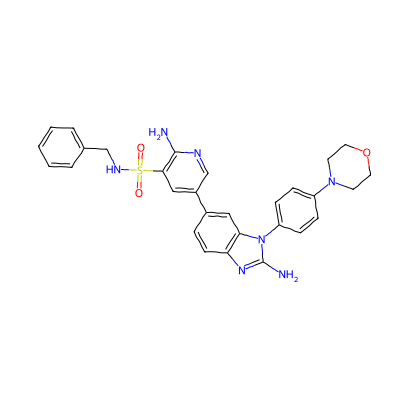 Nc1ncc(-c2ccc3nc(N)n(-c4ccc(N5CCOCC5)cc4)c3c2)cc1S(=O)(=O)NCc1ccccc1